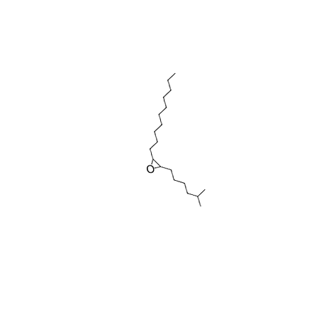 CCCCCCCCCCC1OC1CCCCC(C)C